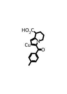 Cc1ccc(C(=O)c2ccc3n2CCCC3C(=O)O)cc1.[Cu]